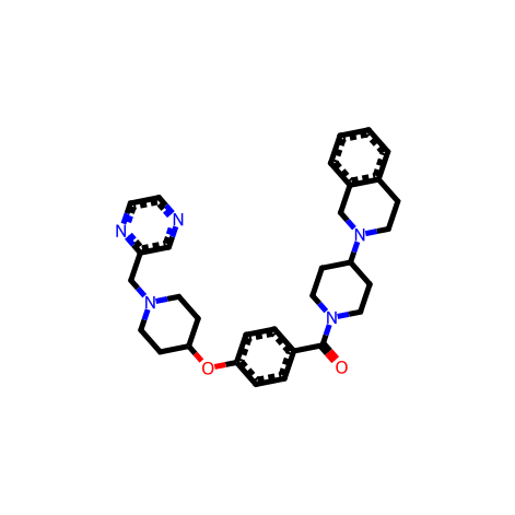 O=C(c1ccc(OC2CCN(Cc3cnccn3)CC2)cc1)N1CCC(N2CCc3ccccc3C2)CC1